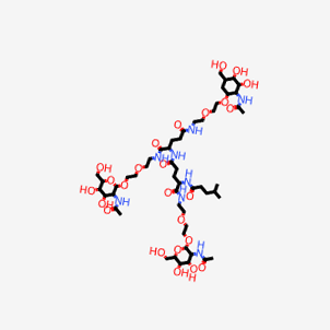 CC(=O)NC1C(OCCOCCNC(=O)CCC(NC(=O)CCC(NC(=O)CCC(C)C)C(=O)NCCOCCOC2OC(CO)C(O)C(O)C2NC(C)=O)C(=O)NCCOCCOC2OC(CO)C(O)C(O)C2NC(C)=O)CC(CO)C(O)C1O